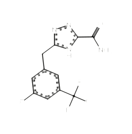 NC(=O)c1nnc(Cc2cc(F)cc(C(F)(F)F)c2)[nH]1